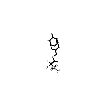 CC1C=C2CC(COC(F)C(F)(F)S(=O)(=O)O)CC(C2)C1